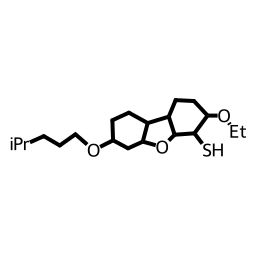 CCOC1CCC2C3CCC(OCCCC(C)C)CC3OC2C1S